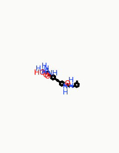 Cc1cccc(CNCC(=O)Nc2ccc(C#Cc3ccc(C(=O)N[C@@H](CN)C(=O)NO)cc3)cc2)c1